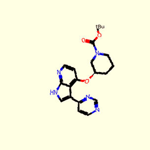 CC(C)(C)OC(=O)N1CCC[C@@H](Oc2ccnc3[nH]cc(-c4ccncn4)c23)C1